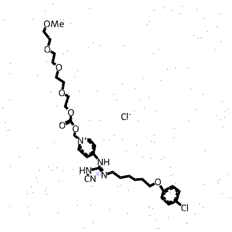 COCCOCCOCCOCCOC(=O)OC[n+]1ccc(N/C(=N\CCCCCCOc2ccc(Cl)cc2)NC#N)cc1.[Cl-]